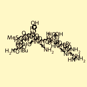 CCCN(CC(=O)N[C@@H](CCCNC(=N)N)C(N)=O)C(=O)[C@H](CCCCN)NC(=O)CNC(=O)[C@H](COP(=O)(O)O)NC(=O)CNC(=O)[C@H](CCCCN)NC(=O)[C@H](C#CO)NC(=O)[C@H](Cc1ccc(O)cc1)NC(=O)CNC(=O)[C@H](CCSC)NC(=N)CNC(=O)[C@@H](NC(=O)CN)C(C)CC